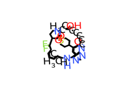 C[C@H]1Nc2ncnc3c2cc(C2CCS(=O)(=O)CC2)c(=O)n3CCCCCC(C)(O)CN2CCC(CC2)C(F)(F)c2cccc1c2